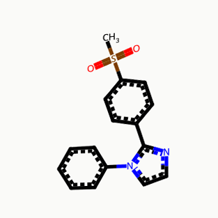 CS(=O)(=O)c1ccc(-c2nccn2-c2ccccc2)cc1